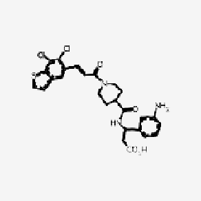 Nc1cccc(C(CC(=O)O)NC(=O)C2CCN(C(=O)C=Cc3cc4ccsc4c(Cl)c3Cl)CC2)c1